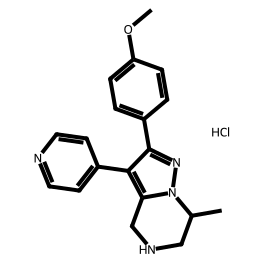 COc1ccc(-c2nn3c(c2-c2ccncc2)CNCC3C)cc1.Cl